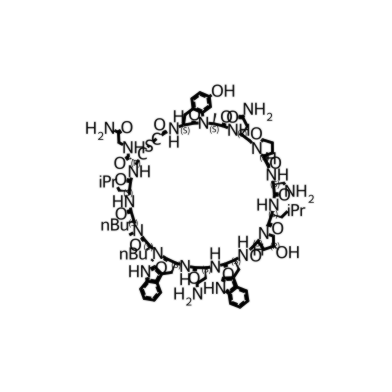 CCCC[C@H]1C(=O)N(C)[C@@H](CCCC)C(=O)N[C@@H](CC(C)C)C(=O)N[C@H](C(=O)NCC(N)=O)CSCC(=O)N[C@H]2Cc3ccc(O)cc3N(C2=O)[C@@H](C)C(=O)N[C@@H](CC(N)=O)C(=O)N2CCC[C@H]2C(=O)N[C@@H](CN)C(=O)N[C@@H](CC(C)C)C(=O)N2C[C@H](O)C[C@H]2C(=O)N[C@@H](Cc2c[nH]c3ccccc23)C(=O)N[C@@H](CCN)C(=O)N[C@@H](Cc2c[nH]c3ccccc23)C(=O)N1C